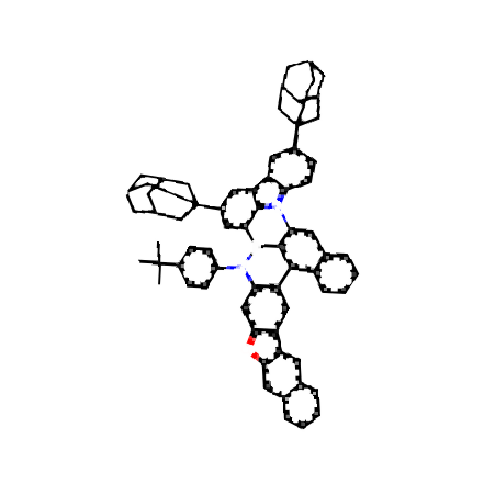 CC(C)(C)c1ccc(N2B3c4c(cc5ccccc5c4-c4cc5c(cc42)oc2cc4ccccc4cc25)-n2c4ccc(C56CC7CC(CC(C7)C5)C6)cc4c4cc(C56CC7CC(CC(C7)C5)C6)cc3c42)cc1